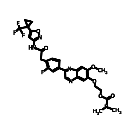 COc1cc2nc(-c3ccc(CC(=O)Nc4cc(C5(C(F)(F)F)CC5)on4)c(F)c3)cnc2cc1OCCOC(=O)N(C)C